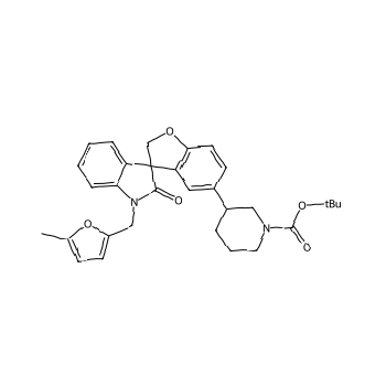 Cc1ccc(CN2C(=O)C3(COc4ccc(C5CCCN(C(=O)OC(C)(C)C)C5)cc43)c3ccccc32)o1